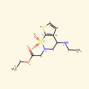 CCNC1CN(CC(=O)OCC)S(=O)(=O)c2sccc21